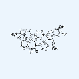 NS(=O)(=O)N1CCC(N2CCN(C(=O)C(Cc3ccc(O)c(Br)c3)[C@H]3CC(N4CCc5ccccc5NC4=O)CCN3C(=O)O)CC2)CC1